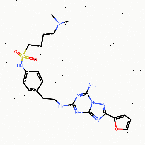 CN(C)CCCCS(=O)(=O)Nc1ccc(CCNc2nc(N)n3nc(-c4ccco4)nc3n2)cc1